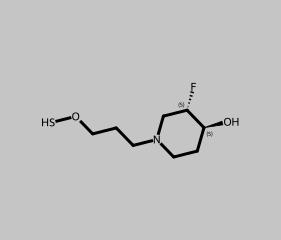 O[C@H]1CCN(CCCOS)C[C@@H]1F